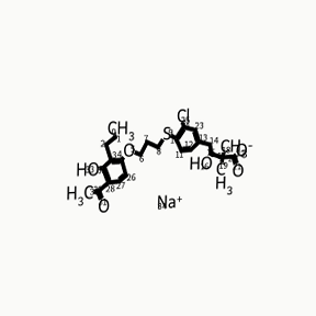 CCCc1c(OCCCSc2ccc(CC(O)C(C)(C)C(=O)[O-])cc2Cl)ccc(C(C)=O)c1O.[Na+]